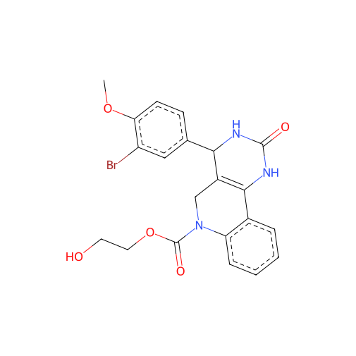 COc1ccc(C2NC(=O)NC3=C2CN(C(=O)OCCO)c2ccccc23)cc1Br